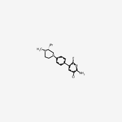 CC(C)[C@@H]1CN(c2ccc(-c3cc(Cl)c(N)nc3F)cc2)CCN1C